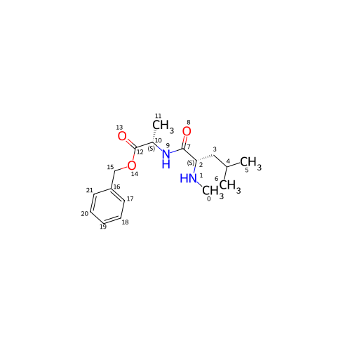 CN[C@@H](CC(C)C)C(=O)N[C@@H](C)C(=O)OCc1ccccc1